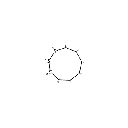 [CH]1CCCCCSSS1